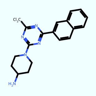 NC1CCN(c2nc(-c3ccc4ccccc4c3)nc(C(Cl)(Cl)Cl)n2)CC1